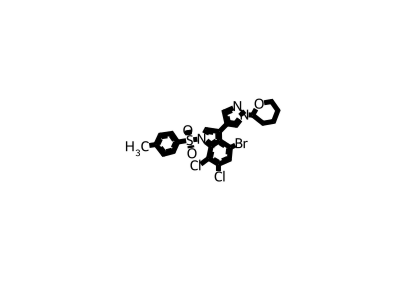 Cc1ccc(S(=O)(=O)n2cc(-c3cnn(C4CCCCO4)c3)c3c(Br)cc(Cl)c(Cl)c32)cc1